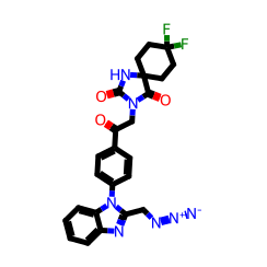 [N-]=[N+]=NCc1nc2ccccc2n1-c1ccc(C(=O)CN2C(=O)NC3(CCC(F)(F)CC3)C2=O)cc1